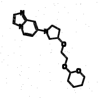 c1cn2ccc(N3CCC(OCCOC4CCCCO4)C3)cc2n1